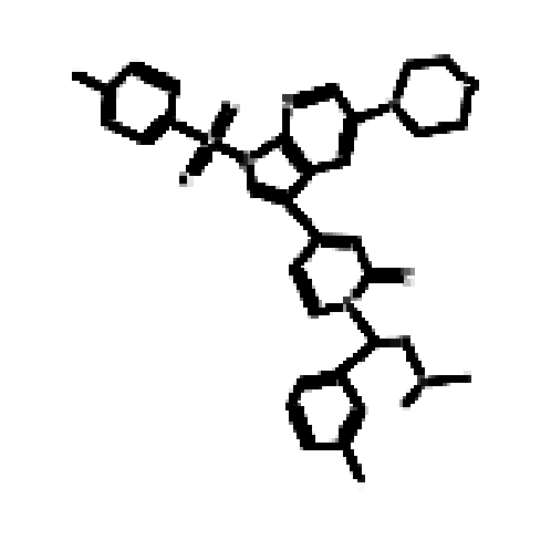 Cc1ccc(S(=O)(=O)n2cc(-c3ccn(C(CN(C)C)c4cccc(I)c4)c(=O)c3)c3cc(N4CCOCC4)cnc32)cc1